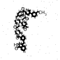 CCc1cccc(-c2cnc(C(=O)N3CCC(CN4CCN(CC(=O)N5CCN(C(=O)c6cc(Cc7n[nH]c(=O)c8ccccc78)ccc6F)CC5)CC4)CC3)c(NC(=O)CN3CCC4(CC3)COC4)c2)c1